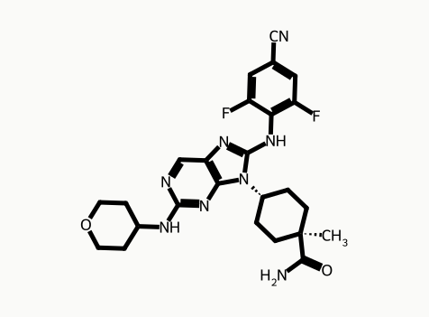 C[C@]1(C(N)=O)CC[C@H](n2c(Nc3c(F)cc(C#N)cc3F)nc3cnc(NC4CCOCC4)nc32)CC1